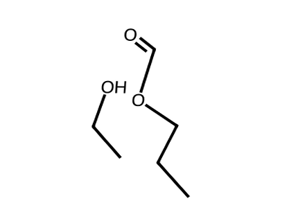 CCCOC=O.CCO